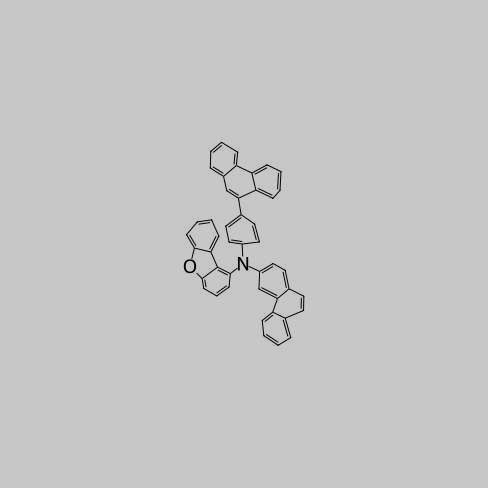 c1ccc2c(c1)ccc1ccc(N(c3ccc(-c4cc5ccccc5c5ccccc45)cc3)c3cccc4oc5ccccc5c34)cc12